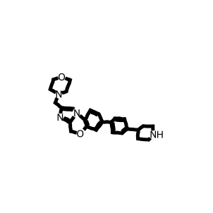 c1cc(C2CCNCC2)ccc1-c1ccc2c(c1)OCc1nc(CN3CCOCC3)cn1-2